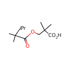 CC(C)C(C)(C)C(=O)OCC(C)(C)C(=O)O